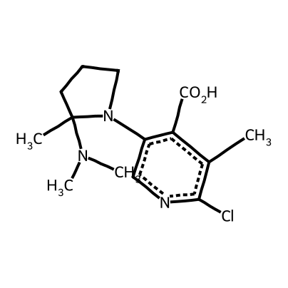 Cc1c(Cl)ncc(N2CCCC2(C)N(C)C)c1C(=O)O